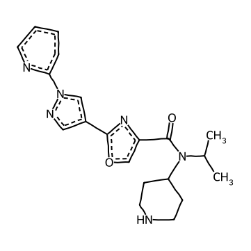 CC(C)N(C(=O)c1coc(-c2cnn(-c3ccccn3)c2)n1)C1CCNCC1